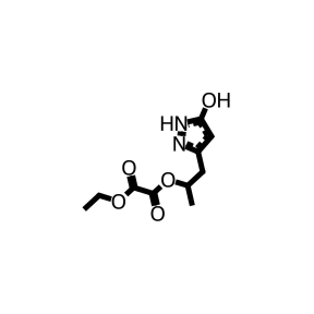 CCOC(=O)C(=O)OC(C)Cc1cc(O)[nH]n1